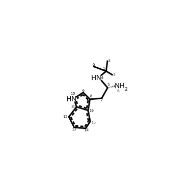 CC(C)(C)N[C@H](N)Cc1c[nH]c2ccccc12